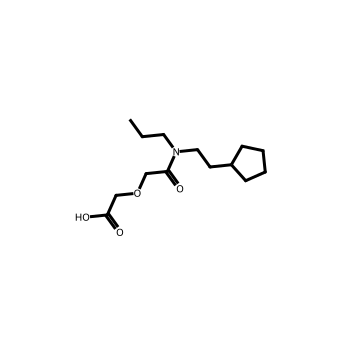 CCCN(CCC1CCCC1)C(=O)COCC(=O)O